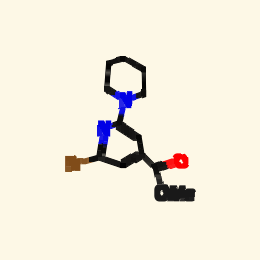 COC(=O)c1cc(Br)nc(N2CCCCC2)c1